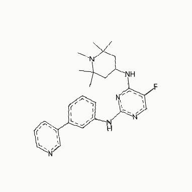 CN1C(C)(C)CC(Nc2nc(Nc3cccc(-c4cccnc4)c3)ncc2F)CC1(C)C